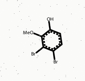 COc1c(O)ccc(Br)c1Br